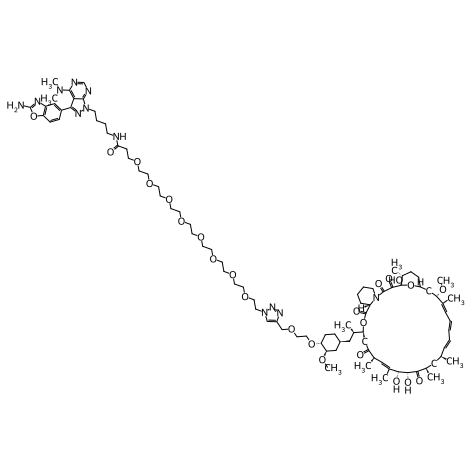 CO[C@H]1C[C@@H]2CC[C@@H](C)[C@@](O)(O2)C(=O)C(=O)N2CCCC[C@H]2C(=O)O[C@H]([C@H](C)C[C@@H]2CC[C@@H](OCCOCc3cn(CCOCCOCCOCCOCCOCCOCCOCCOCCC(=O)NCCCCn4nc(-c5ccc6oc(N)nc6c5)c5c(N(C)C)ncnc54)nn3)[C@H](OC)C2)CC(=O)[C@H](C)/C=C(\C)[C@@H](O)[C@@H](O)C(=O)[C@H](C)C[C@H](C)/C=C/C=C/C=C/1C